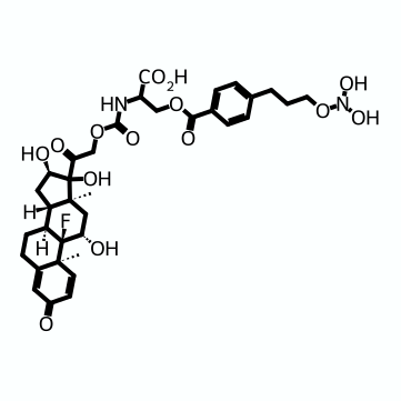 C[C@]12C[C@H](O)[C@@]3(F)[C@@H](CCC4=CC(=O)C=C[C@@]43C)[C@@H]1C[C@@H](O)C2(O)C(=O)COC(=O)NC(COC(=O)c1ccc(CCCON(O)O)cc1)C(=O)O